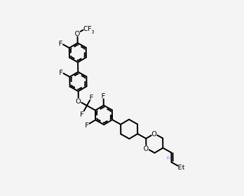 CC/C=C/C1COC(C2CCC(c3cc(F)c(C(F)(F)Oc4ccc(-c5ccc(OC(F)(F)F)c(F)c5)c(F)c4)c(F)c3)CC2)OC1